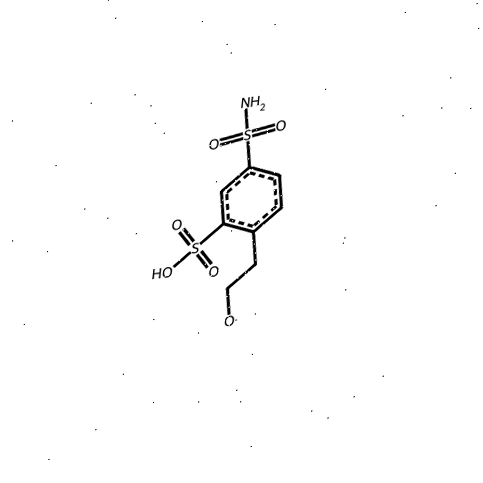 NS(=O)(=O)c1ccc(CC[O])c(S(=O)(=O)O)c1